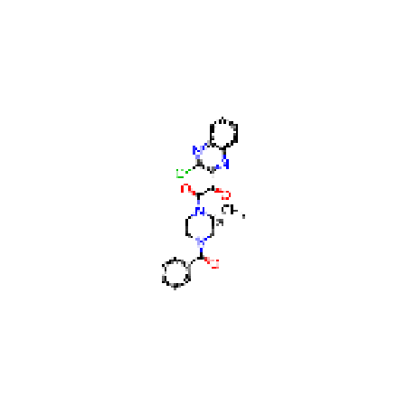 C[C@@H]1CN(C(=O)c2ccccc2)CCN1C(=O)C(=O)c1nc2ccccc2nc1Cl